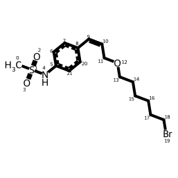 CS(=O)(=O)Nc1ccc(/C=C\COCCCCCCBr)cc1